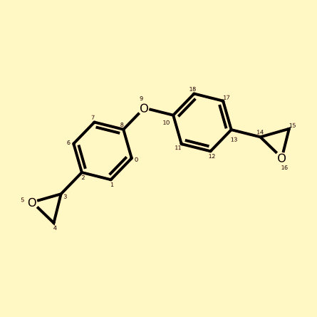 c1cc(C2CO2)ccc1Oc1ccc(C2CO2)cc1